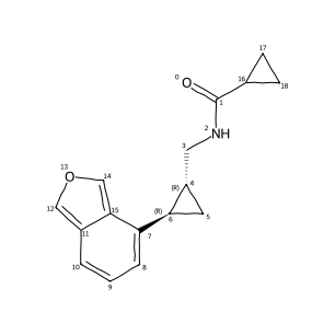 O=C(NC[C@@H]1C[C@H]1c1cccc2cocc12)C1CC1